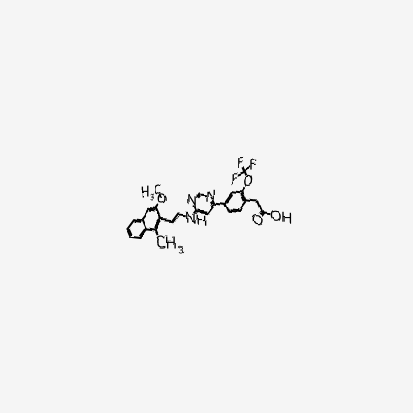 COc1cc2ccccc2c(C)c1CCNc1cc(-c2ccc(CC(=O)O)c(OC(F)(F)F)c2)ncn1